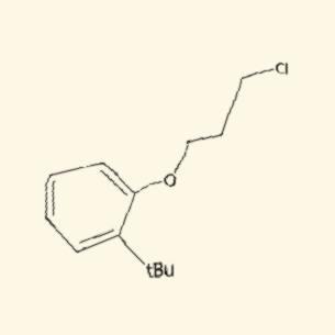 CC(C)(C)c1ccccc1OCCCCl